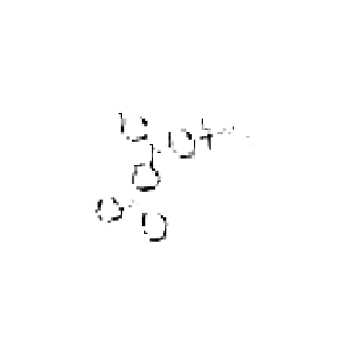 CCC(C)(N)c1ccc(N(c2ccc(C)cc2)c2ccc(N(c3ccccc3)c3ccccc3)cc2)cc1